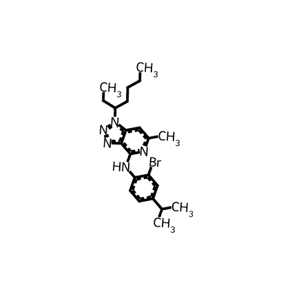 CCCCC(CC)n1nnc2c(Nc3ccc(C(C)C)cc3Br)nc(C)cc21